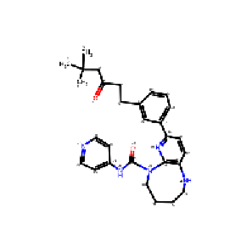 CC(C)(C)CC(=O)CCc1cccc(-c2ccc3c(n2)N(C(=O)Nc2ccncc2)CCCCN3)c1